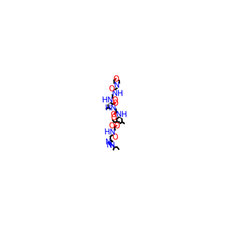 CCC(C)n1cc(CC(=O)NCC(=O)OC(C)(CC)C(=O)[C@H](CC(C)C)NC(=O)CNC(=O)[C@H](CC(C)C)NC(=O)CNC(=O)CN2CCOCC2)nn1